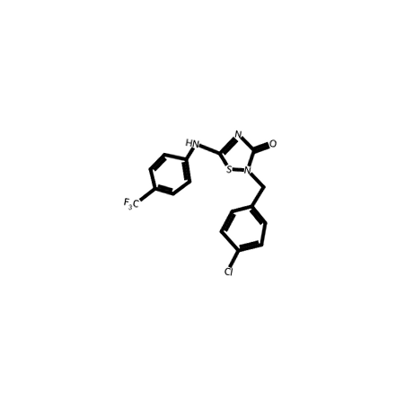 O=c1nc(Nc2ccc(C(F)(F)F)cc2)sn1Cc1ccc(Cl)cc1